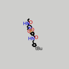 C=CC(=O)NC1CCN(S(=O)(=O)c2ccc(C(=O)NCCc3ccc(C(C)(C)C)cc3)cc2)C(C)C1